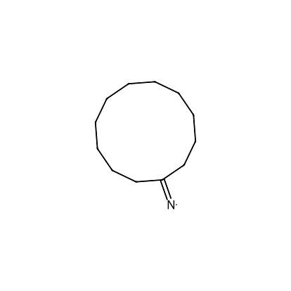 [N]=C1CCCCCCCCCCC1